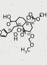 COCO[C@H]1C[C@@H](C(=O)OC)[C@]2(C)CCC(C(=O)O)[C@](C)(C[C@H](O)c3ccoc3)C2C1=O